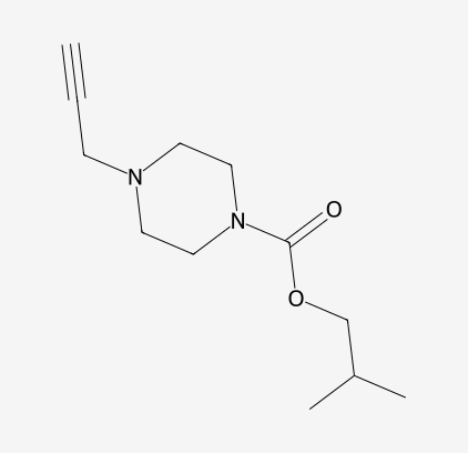 C#CCN1CCN(C(=O)OCC(C)C)CC1